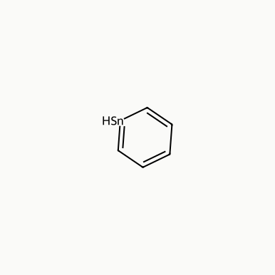 C1=C[CH]=[SnH][CH]=C1